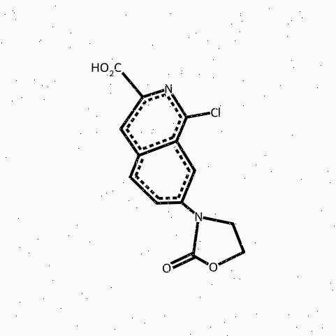 O=C(O)c1cc2ccc(N3CCOC3=O)cc2c(Cl)n1